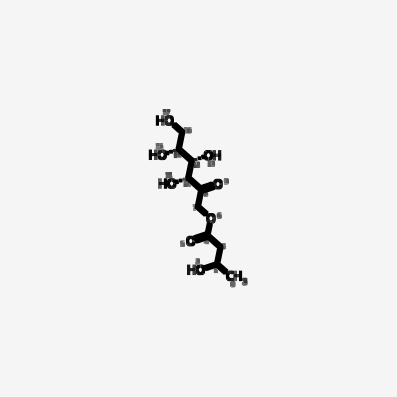 CC(O)CC(=O)OCC(=O)[C@H](O)[C@@H](O)[C@H](O)CO